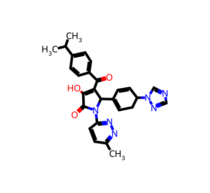 Cc1ccc(N2C(=O)C(O)=C(C(=O)c3ccc(C(C)C)cc3)C2C2=CCC(n3cncn3)C=C2)nn1